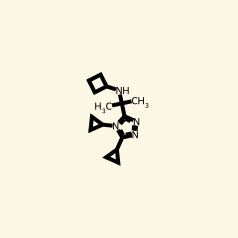 CC(C)(NC1CCC1)c1nnc(C2CC2)n1C1CC1